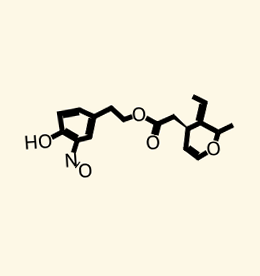 C/C=C1/C(C)OC=C[C@H]1CC(=O)OCCc1ccc(O)c(N=O)c1